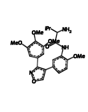 COc1ccc(-c2conc2-c2cc(OC)c(OC)c(OC)c2)cc1NC(=O)C(N)C(C)C